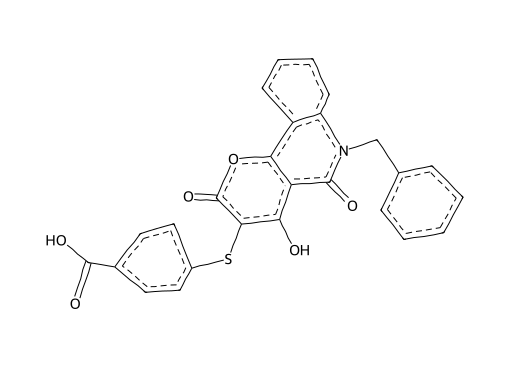 O=C(O)c1ccc(Sc2c(O)c3c(=O)n(Cc4ccccc4)c4ccccc4c3oc2=O)cc1